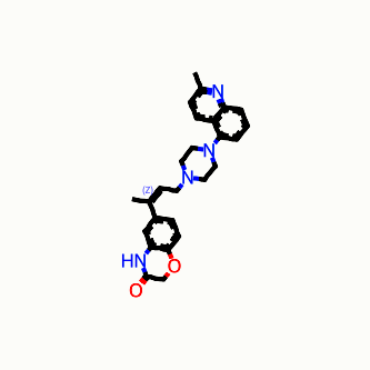 C/C(=C/CN1CCN(c2cccc3nc(C)ccc23)CC1)c1ccc2c(c1)NC(=O)CO2